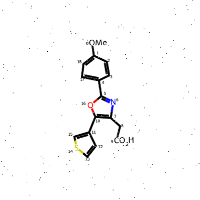 COc1ccc(-c2nc(CC(=O)O)c(-c3ccsc3)o2)cc1